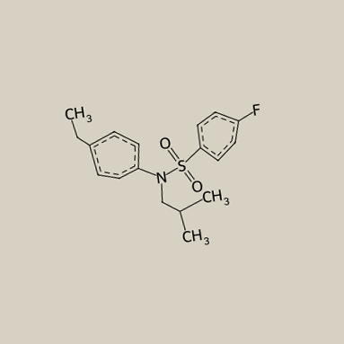 CCc1ccc(N(CC(C)C)S(=O)(=O)c2ccc(F)cc2)cc1